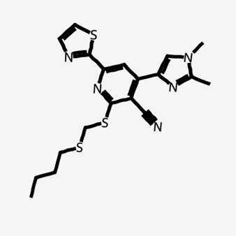 CCCCSCSc1nc(-c2nccs2)cc(-c2cn(C)c(C)n2)c1C#N